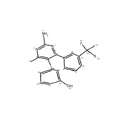 Cc1nc(N)nc(-c2cccc(C(F)(F)F)c2)c1-c1cncc(O)c1